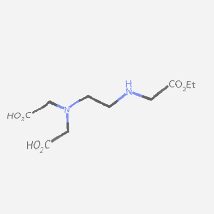 CCOC(=O)CNCCN(CC(=O)O)CC(=O)O